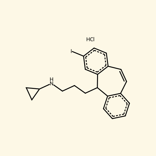 Cl.Ic1ccc2c(c1)C(CCCNC1CC1)c1ccccc1C=C2